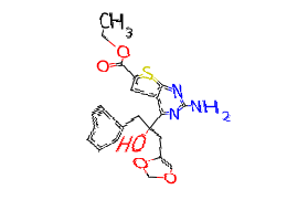 CCOC(=O)c1cc2c(C(O)(CC3=COCO3)Cc3ccccc3)nc(N)nc2s1